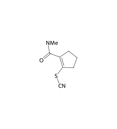 CNC(=O)C1=C(SC#N)CCC1